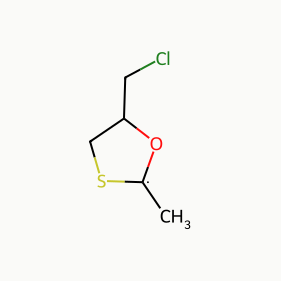 C[C]1OC(CCl)CS1